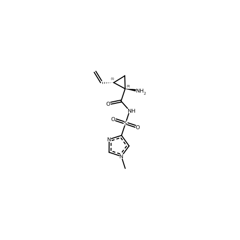 C=C[C@@H]1C[C@]1(N)C(=O)NS(=O)(=O)c1cn(C)cn1